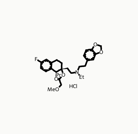 CCN(CCc1ccc2c(c1)OCO2)CC[C@]1(OC(=O)COC)CCc2cc(F)ccc2[C@H]1C(C)C.Cl